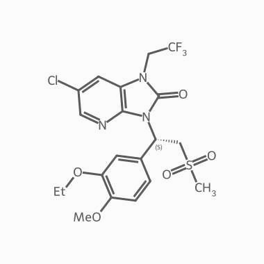 CCOc1cc([C@@H](CS(C)(=O)=O)n2c(=O)n(CC(F)(F)F)c3cc(Cl)cnc32)ccc1OC